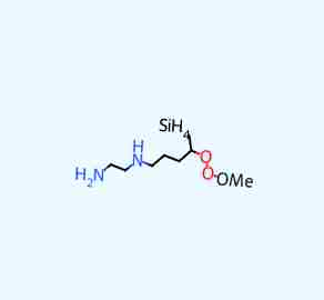 COOOC(C)CCCNCCN.[SiH4]